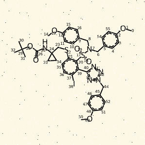 COc1ccc(CN(Cc2ccc(OC)cc2)S(=O)(=O)c2c(SCC3(NC(=O)OC(C)(C)C)CC3)ccc(I)c2-c2nnn(Cc3ccc(OC)cc3)n2)cc1